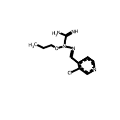 CCCON(/N=C/c1ccncc1Cl)C(=N)N